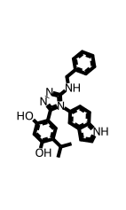 CC(C)c1cc(-c2nnc(NCc3ccccc3)n2-c2ccc3[nH]ccc3c2)c(O)cc1O